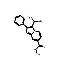 CC(C)(C)C(N)c1c(-c2ccccc2)nc2cc(C(=O)NO)ccn12